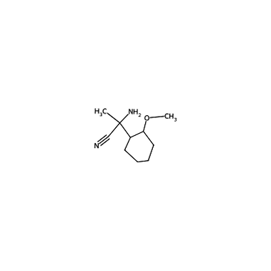 COC1CCCCC1C(C)(N)C#N